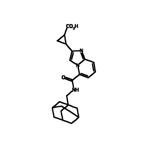 O=C(NCC12CC3CC(CC(C3)C1)C2)c1cccc2nc(C3CC3C(=O)O)cn12